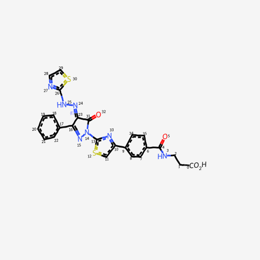 O=C(O)CCNC(=O)c1ccc(-c2csc(N3N=C(c4ccccc4)/C(=N\Nc4nccs4)C3=O)n2)cc1